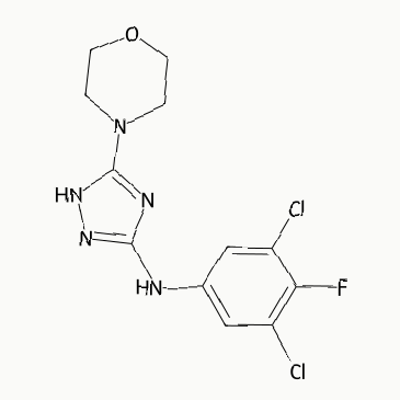 Fc1c(Cl)cc(Nc2n[nH]c(N3CCOCC3)n2)cc1Cl